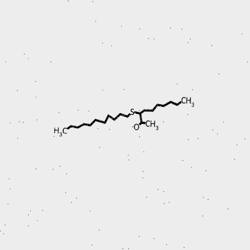 CCCCCCCCCCCSC(CCCCCCC)C(C)[O]